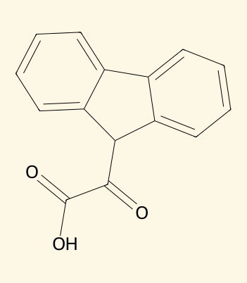 O=C(O)C(=O)C1c2ccccc2-c2ccccc21